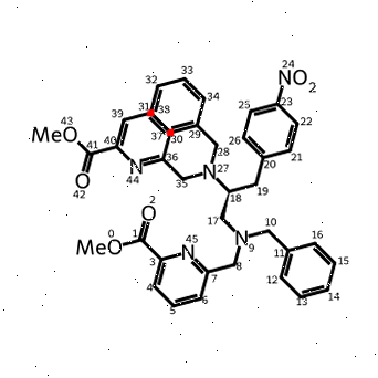 COC(=O)c1cccc(CN(Cc2ccccc2)C[C@H](Cc2ccc([N+](=O)[O-])cc2)N(Cc2ccccc2)Cc2cccc(C(=O)OC)n2)n1